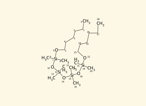 CCCCCCO[Si](C)(C)O[Si](C)(C)O[Si](C)(C)O[Si](C)(C)OCCCCCC